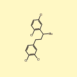 [CH2]CCCC(CCc1ccc(Cl)c(Cl)c1)c1cc(Cl)ccc1Cl